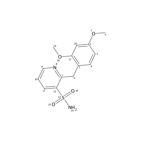 COc1ccc(Cc2ncccc2S(N)(=O)=O)c(OC)c1